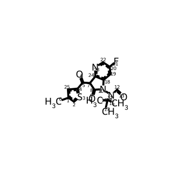 Cc1csc(C(=O)C2C(=O)N(N(C=O)C(C)(C)C)c3cc(F)cnc32)c1